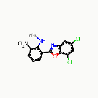 CCCNc1c(-c2nc3cc(Cl)cc(Cl)c3o2)cccc1[N+](=O)[O-]